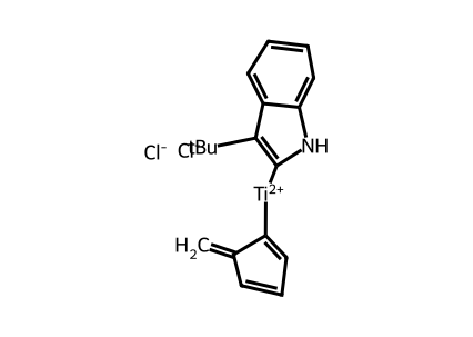 C=C1C=CC=[C]1[Ti+2][c]1[nH]c2ccccc2c1C(C)(C)C.[Cl-].[Cl-]